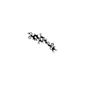 COC(=O)c1ccc(N2[C@H](C)CN(CCOCC(=O)OC(C)(C)C)C[C@@H]2C)nc1